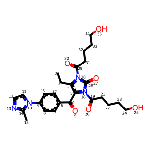 CCc1c(C(=O)c2ccc(-n3ccnc3C)cc2)n(C(=O)CCCCO)c(=O)n1C(=O)CCCCO